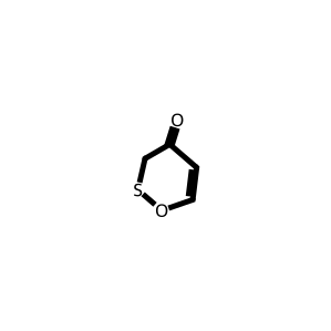 O=C1C=COSC1